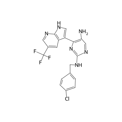 Nc1cnc(NCc2ccc(Cl)cc2)nc1-c1c[nH]c2ncc(C(F)(F)F)cc12